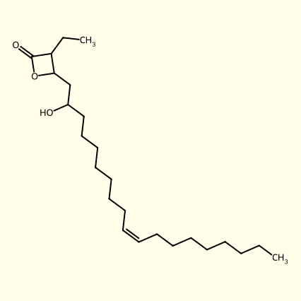 CCCCCCCC/C=C\CCCCCCCC(O)CC1OC(=O)C1CC